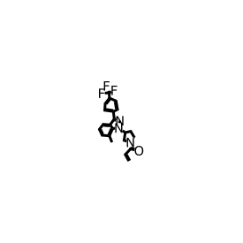 C=CC(=O)N1CCC(n2nc(-c3ccc(C(F)(F)F)cc3)c3cccc(C)c32)C1